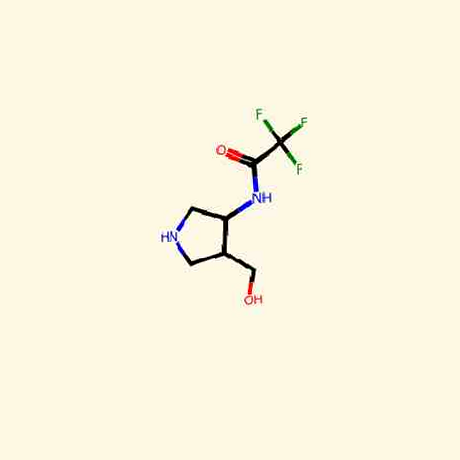 O=C(NC1CNCC1CO)C(F)(F)F